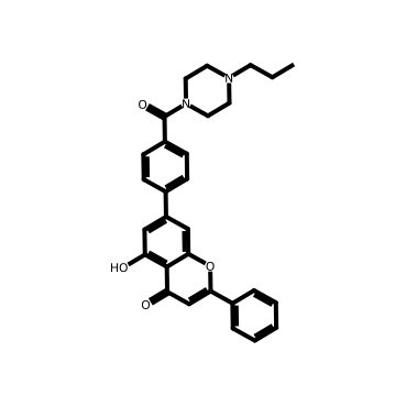 CCCN1CCN(C(=O)c2ccc(-c3cc(O)c4c(=O)cc(-c5ccccc5)oc4c3)cc2)CC1